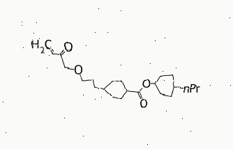 C=CC(=O)COCCCC1CCC(C(=O)OC2CCC(CCC)CC2)CC1